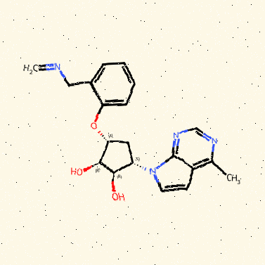 C=NCc1ccccc1O[C@@H]1C[C@H](n2ccc3c(C)ncnc32)[C@@H](O)[C@H]1O